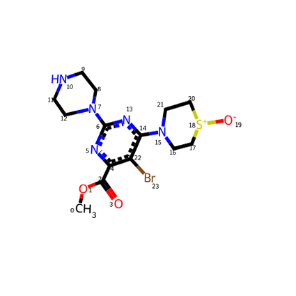 COC(=O)c1nc(N2CCNCC2)nc(N2CC[S+]([O-])CC2)c1Br